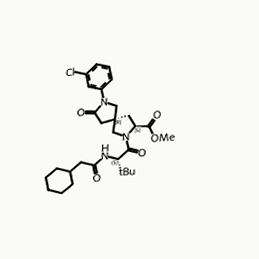 COC(=O)[C@@H]1C[C@@]2(CC(=O)N(c3cccc(Cl)c3)C2)CN1C(=O)[C@@H](NC(=O)CC1CCCCC1)C(C)(C)C